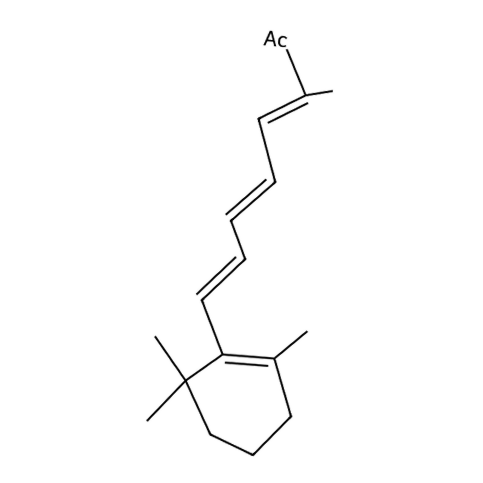 CC(=O)C(C)=CC=CC=CC1=C(C)CCCC1(C)C